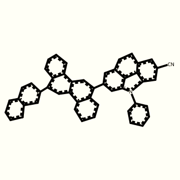 N#Cc1cc2ccc3cc(-c4cc5c6ccccc6c(-c6ccc7ccccc7c6)cc5c5ccccc45)cc4c3c2c(c1)n4-c1ccccc1